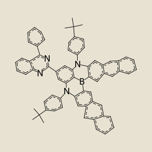 CC(C)(C)c1ccc(N2c3cc4cc5ccccc5cc4cc3B3c4cc5cc6ccccc6cc5cc4N(c4ccc(C(C)(C)C)cc4)c4cc(-c5nc(-c6ccccc6)c6ccccc6n5)cc2c43)cc1